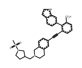 CS(=O)(=O)N1CCC(CN2CCc3cc(C#Cc4cccc(C(=O)O)c4-c4ccc5cc[nH]c5c4)ccc3C2)C1